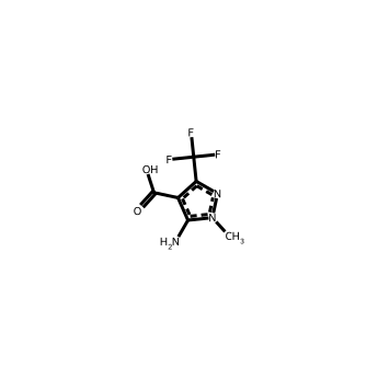 Cn1nc(C(F)(F)F)c(C(=O)O)c1N